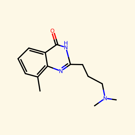 Cc1cccc2c(=O)[nH]c(CCCN(C)C)nc12